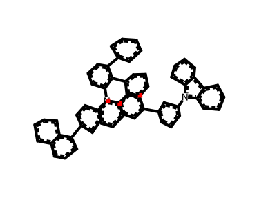 c1ccc(-c2ccccc2-c2c(-c3ccccc3)cccc2N(c2ccc(-c3cccc(-n4c5ccccc5c5ccccc54)c3)cc2)c2ccc(-c3cccc4ccccc34)cc2)cc1